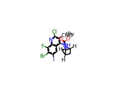 CC(C)(C)OC(=O)N1C[C@H]2C[C@@H]1[C@H]2Nc1c(C=O)c(Cl)nc2c(F)c(Br)c(I)cc12